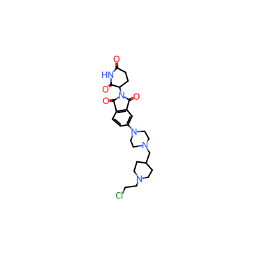 O=C1CCC(N2C(=O)c3ccc(N4CCN(CC5CCN(CCCl)CC5)CC4)cc3C2=O)C(=O)N1